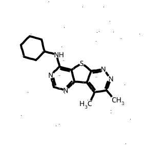 Cc1nnc2sc3c(NC4CCCCC4)ncnc3c2c1C